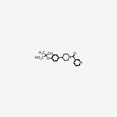 CC(C)(Oc1ccc(C2CCN(C(=O)c3cccnc3)CC2)cc1)C(=O)O